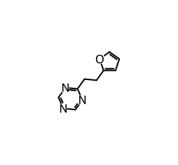 c1coc(CCc2ncncn2)c1